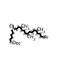 CCCCCCCCCCCCCCCN(CC)CCC(C)CCCC(C)CCCC(C)CCCC(C)C